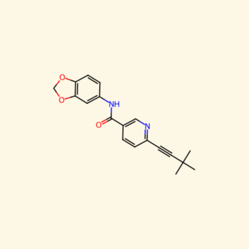 CC(C)(C)C#Cc1ccc(C(=O)Nc2ccc3c(c2)OCO3)cn1